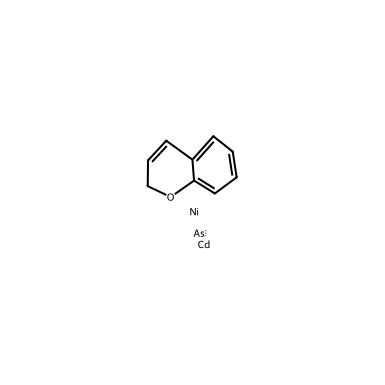 C1=Cc2ccccc2OC1.[As].[Cd].[Ni]